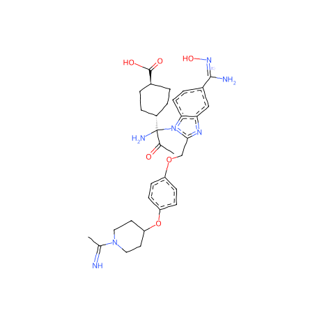 CC(=N)N1CCC(Oc2ccc(OCc3nc4cc(/C(N)=N\O)ccc4n3C(N)(C(C)=O)[C@H]3CC[C@H](C(=O)O)CC3)cc2)CC1